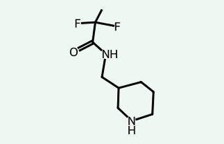 CC(F)(F)C(=O)NCC1CCCNC1